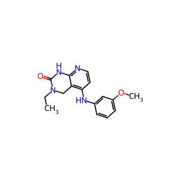 CCN1Cc2c(Nc3cccc(OC)c3)ccnc2NC1=O